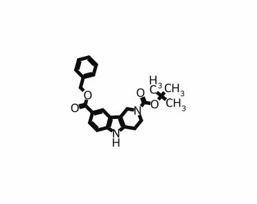 CC(C)(C)OC(=O)N1CCc2[nH]c3ccc(C(=O)OCc4ccccc4)cc3c2C1